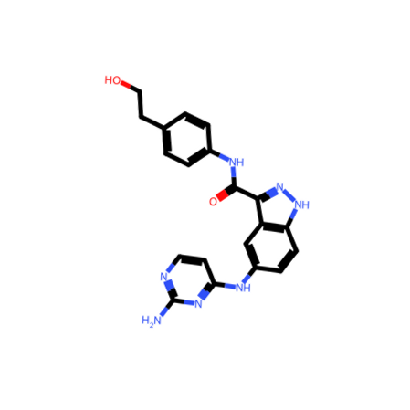 Nc1nccc(Nc2ccc3[nH]nc(C(=O)Nc4ccc(CCO)cc4)c3c2)n1